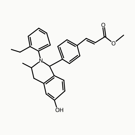 CCc1ccccc1N1C(C)Cc2cc(O)ccc2C1c1ccc(/C=C/C(=O)OC)cc1